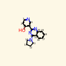 Oc1ccncc1-c1nc(N2CCCC2)c2ccccc2n1